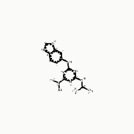 CCN(CC)c1nc(Nc2ccc3ncoc3c2)nc(OC(C(F)(F)F)C(F)(F)F)n1